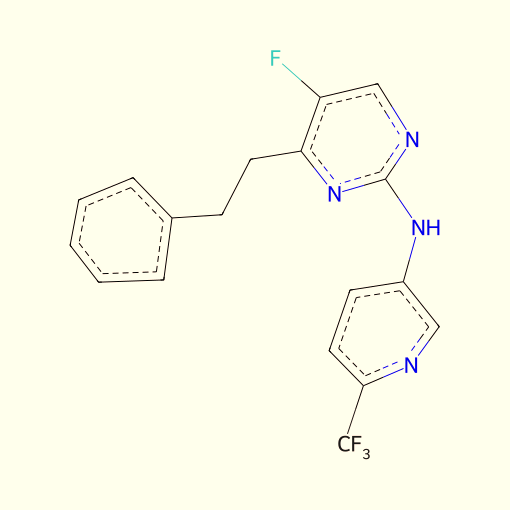 Fc1cnc(Nc2ccc(C(F)(F)F)nc2)nc1CCc1ccccc1